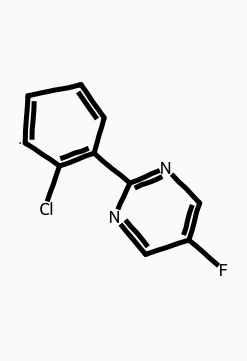 Fc1cnc(-c2ccc[c]c2Cl)nc1